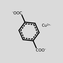 O=C([O-])c1ccc(C(=O)[O-])cc1.[Cu+2]